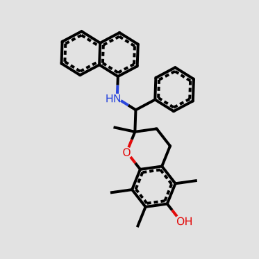 Cc1c(C)c2c(c(C)c1O)CCC(C)(C(Nc1cccc3ccccc13)c1ccccc1)O2